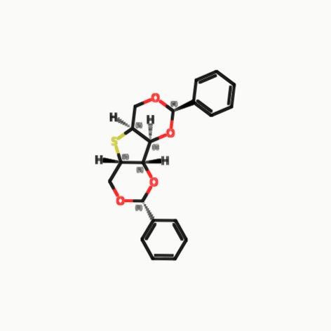 c1ccc([C@@H]2OC[C@@H]3S[C@H]4CO[C@@H](c5ccccc5)O[C@H]4[C@@H]3O2)cc1